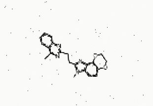 Cc1nc(CCc2nc3c4c(ccc3n2C)OCCO4)nc2ccccc12